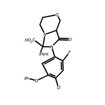 CCCC(C)C1(C(=O)O)N(c2cc(OC(C)C)c(Cl)cc2F)C(=O)C2COCCN21